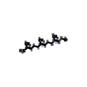 CC(C)=CCC/C(C)=C/CC/C(C)=C/C[O]